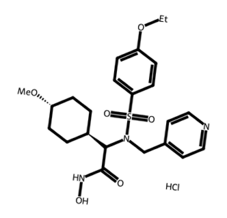 CCOc1ccc(S(=O)(=O)N(Cc2ccncc2)C(C(=O)NO)[C@H]2CC[C@H](OC)CC2)cc1.Cl